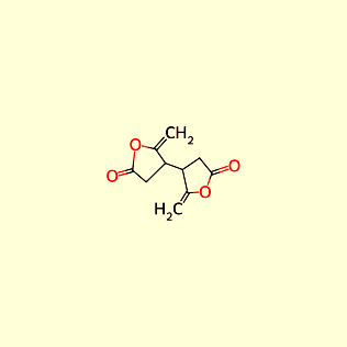 C=C1OC(=O)CC1C1CC(=O)OC1=C